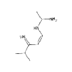 CC(N)N/C=C\C(=N)C(C)C